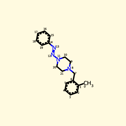 Cc1ccccc1CN1CCN(N=Nc2ccccc2)CC1